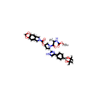 CC(C)C(NC(=O)OC(C)(C)C)C(=O)N1C[C@H](OC(=O)N2Cc3cc4c(cc3C2)OCO4)C[C@H]1c1nc(-c2ccc(B3OC(C)(C)C(C)(C)O3)cc2)c[nH]1